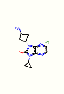 Cl.N[C@H]1C[C@H](n2c(=O)n(C3CC3)c3nccnc32)C1